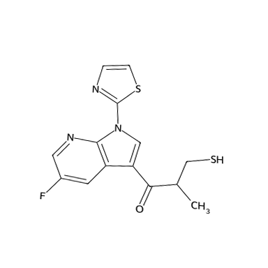 CC(CS)C(=O)c1cn(-c2nccs2)c2ncc(F)cc12